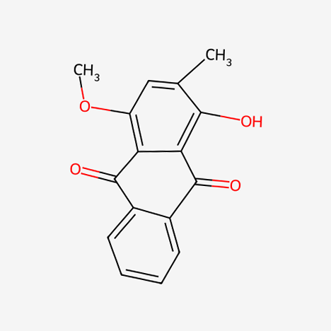 COc1cc(C)c(O)c2c1C(=O)c1ccccc1C2=O